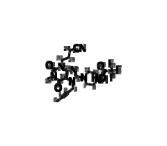 CC#CCn1c(N2CCNCC2)nc2c1c(=O)n(C)c(=O)n2CCCC#N.O=C(O)C(F)(F)F